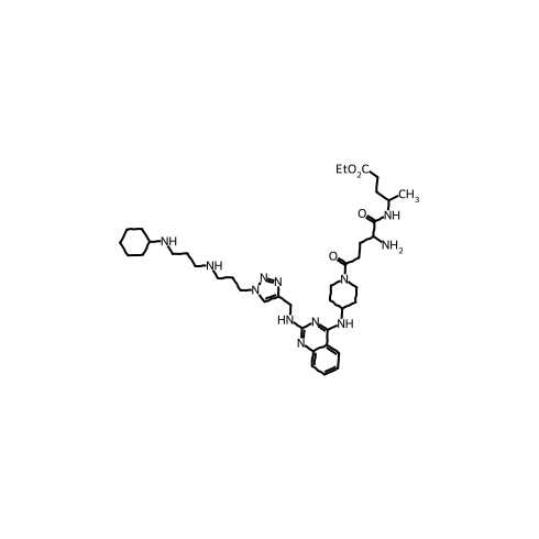 CCOC(=O)CCC(C)NC(=O)C(N)CCC(=O)N1CCC(Nc2nc(NCc3cn(CCCNCCCNC4CCCCC4)nn3)nc3ccccc23)CC1